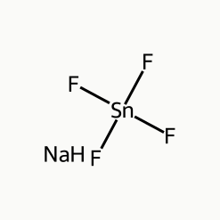 [F][Sn]([F])([F])[F].[NaH]